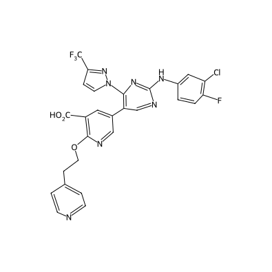 O=C(O)c1cc(-c2cnc(Nc3ccc(F)c(Cl)c3)nc2-n2ccc(C(F)(F)F)n2)cnc1OCCc1ccncc1